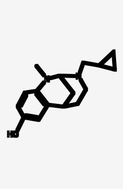 CN1c2ccc(O)cc2C2CCN(CC3CC3)C1C2